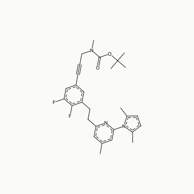 Cc1cc(CCc2cc(C#CCN(C)C(=O)OC(C)(C)C)cc(F)c2F)nc(-n2c(C)ccc2C)c1